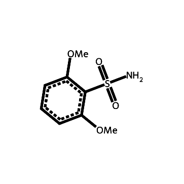 COc1cccc(OC)c1S(N)(=O)=O